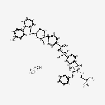 CN(C)CC[C@H](CSc1ccccc1)Nc1ccc(S(=O)(=O)NC(=O)c2cnc3c(c2)CC2CN(Cc4ccccc4-c4ccc(Cl)cc4)CCN32)cc1[N+](=O)[O-].Cl.Cl.Cl